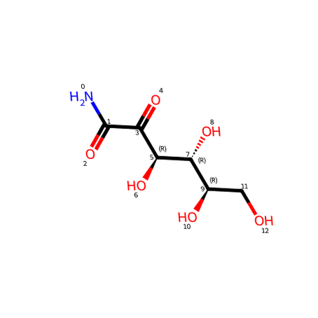 NC(=O)C(=O)[C@H](O)[C@H](O)[C@H](O)CO